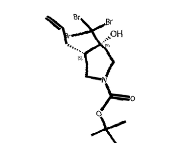 C=CC[C@H]1CN(C(=O)OC(C)(C)C)C[C@]1(O)C(Br)(Br)Br